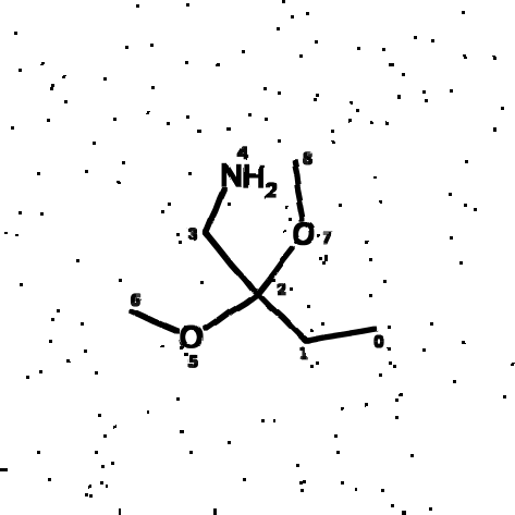 CCC(CN)(OC)OC